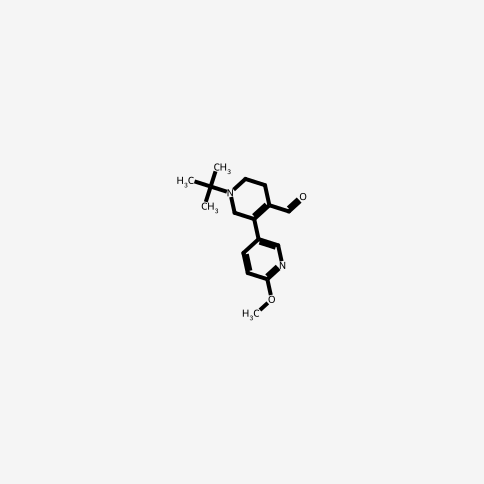 COc1ccc(C2=C(C=O)CCN(C(C)(C)C)C2)cn1